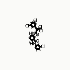 O=C(Nc1cccc(Cl)c1)c1cc(NC(=O)C2C(c3cc(Cl)cc(Cl)c3)C2(Cl)Cl)ccc1Cl